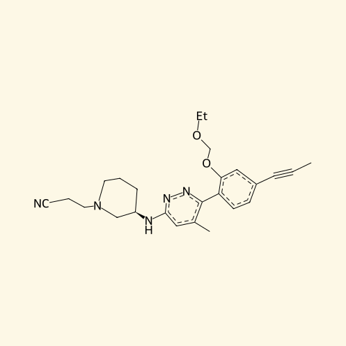 CC#Cc1ccc(-c2nnc(N[C@@H]3CCCN(CCC#N)C3)cc2C)c(OCOCC)c1